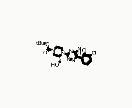 CC(C)(C)OC(=O)N1CCN(c2nnc(-c3cccc(Cl)c3Cl)c(N)n2)[C@H](CO)C1